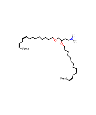 CCCCC/C=C\C/C=C\CCCCCCCCOCC(CCN(CC)CC)OCCCCCCCC/C=C\C/C=C\CCCCC